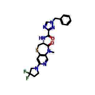 CN1C(=O)[C@@H](NC(=O)c2ncn(Cc3ccccc3)n2)CSc2cc(N3CCC(F)(F)C3)ncc21